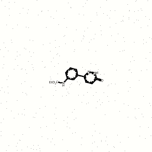 CCOC(=O)Nc1cccc(-c2ccc(=O)[nH]n2)c1